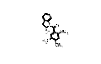 Cc1cc(C(=O)N2c3ccccc3C[C@H]2C)c([N+](=O)[O-])cc1C